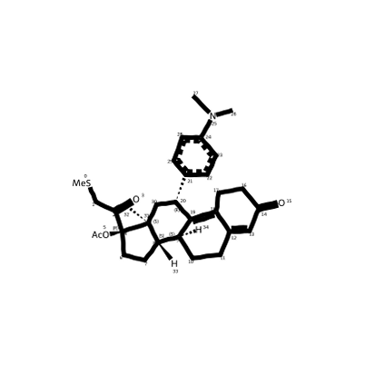 CSCC(=O)[C@@]1(OC(C)=O)CC[C@H]2[C@@H]3CCC4=CC(=O)CCC4=C3[C@@H](c3ccc(N(C)C)cc3)C[C@@]21C